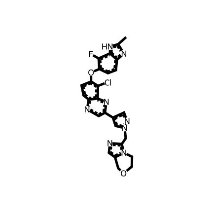 Cc1nc2ccc(Oc3ccc4ncc(-c5cnn(Cc6ncc7n6CCOC7)c5)nc4c3Cl)c(F)c2[nH]1